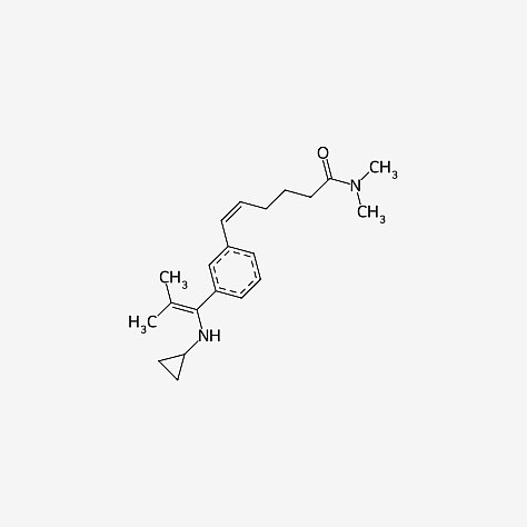 CC(C)=C(NC1CC1)c1cccc(/C=C\CCCC(=O)N(C)C)c1